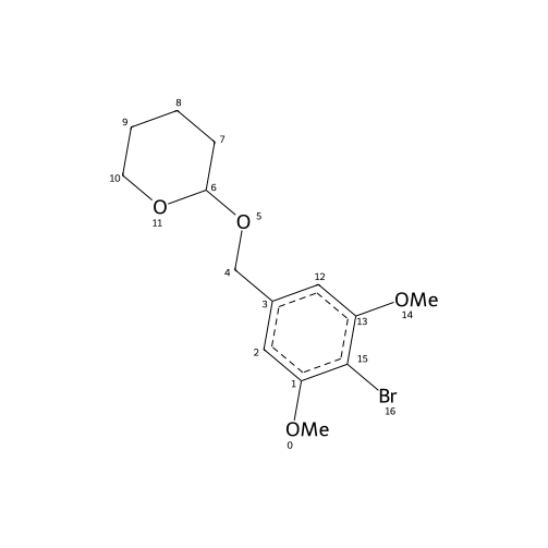 COc1cc(COC2CCCCO2)cc(OC)c1Br